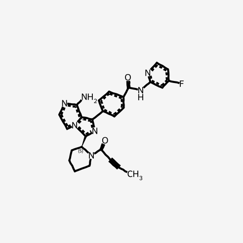 CC#CC(=O)N1CCCC[C@H]1c1nc(-c2ccc(C(=O)Nc3cc(F)ccn3)cc2)c2c(N)nccn12